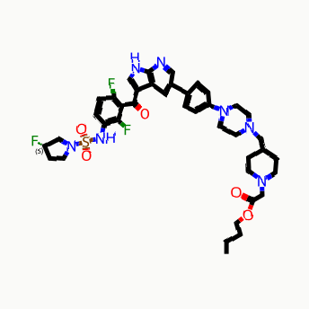 CCCCOC(=O)CN1CCC(CN2CCN(c3ccc(-c4cnc5[nH]cc(C(=O)c6c(F)ccc(NS(=O)(=O)N7CC[C@H](F)C7)c6F)c5c4)cc3)CC2)CC1